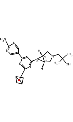 CC(C)(O)CN1C[C@@H]2[C@H](C1)[C@H]2c1cc(-c2cnc(N)nc2)nc(N2CC3CC2C3)n1